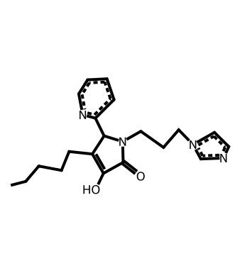 CCCCCC1=C(O)C(=O)N(CCCn2ccnc2)C1c1ccccn1